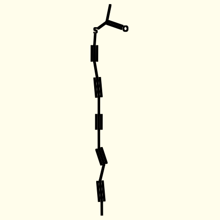 CC#CC#CC#CC#CC#CSC(C)=O